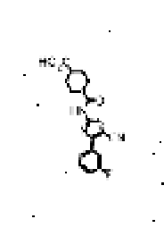 N#Cc1sc(NC(=O)C2CCC(C(=O)O)CC2)nc1-c1cccc(F)c1